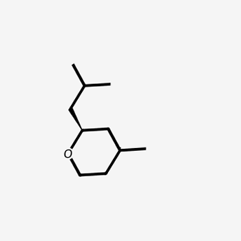 C[C]1CCO[C@@H](CC(C)C)C1